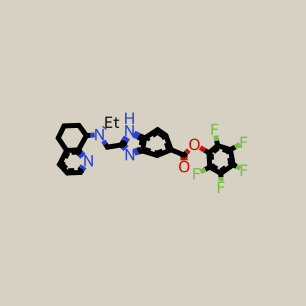 CCN(Cc1nc2cc(C(=O)Oc3c(F)c(F)c(F)c(F)c3F)ccc2[nH]1)C1CCCc2cccnc21